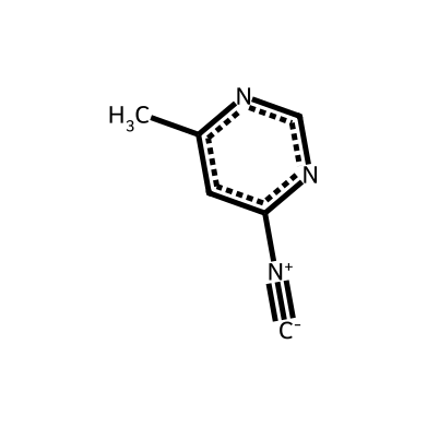 [C-]#[N+]c1cc(C)ncn1